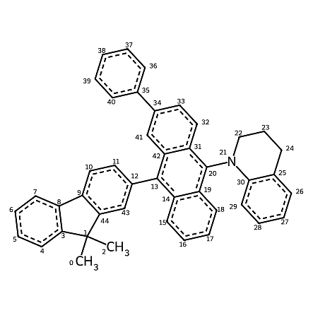 CC1(C)c2ccccc2-c2ccc(-c3c4ccccc4c(N4CCCc5ccccc54)c4ccc(-c5ccccc5)cc34)cc21